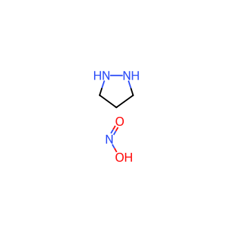 C1CNNC1.O=NO